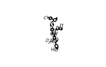 CC1(C)CCC(CN2CCN(c3ccc(C(=O)NS(=O)(=O)c4cc5c(c([N+](=O)[O-])c4)NC(C4CCC(C)(O)CC4)CO5)c(Oc4cnc5[nH]ccc5c4)c3)CC2)=C(c2ccc(Cl)cc2)C1